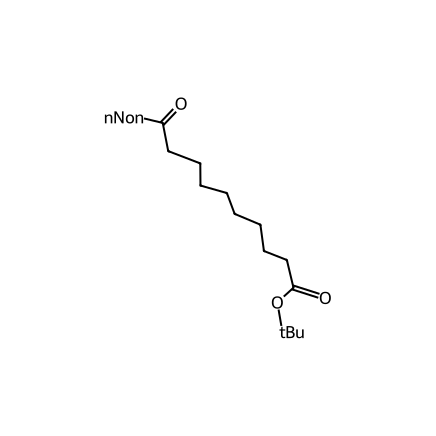 CCCCCCCCCC(=O)CCCCCCCCC(=O)OC(C)(C)C